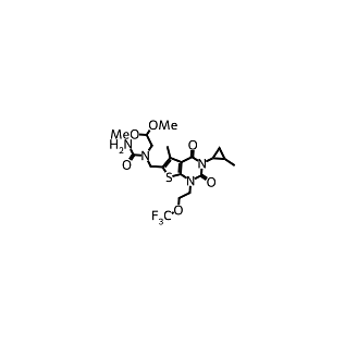 COC(CN(Cc1sc2c(c1C)c(=O)n(C1CC1C)c(=O)n2CCOC(F)(F)F)C(N)=O)OC